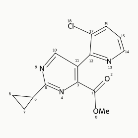 COC(=O)c1nc(C2CC2)ncc1-c1ncccc1Cl